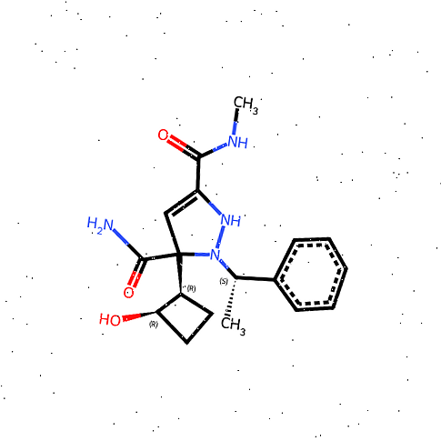 CNC(=O)C1=CC(C(N)=O)([C@H]2CC[C@H]2O)N([C@@H](C)c2ccccc2)N1